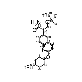 CC(C)(C)C1CCC(Oc2ccc3cc([C](CO[Si](C)(C)C(C)(C)C)C(N)=O)ccc3n2)CC1